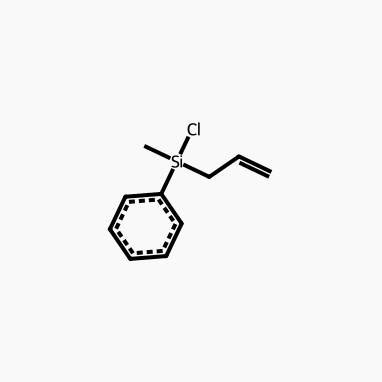 C=CC[Si](C)(Cl)c1ccccc1